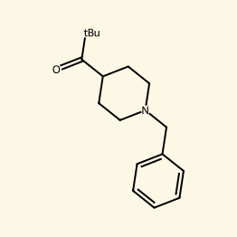 CC(C)(C)C(=O)C1CCN(Cc2ccccc2)CC1